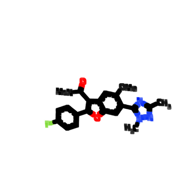 CNC(=O)c1c(-c2ccc(F)cc2)oc2cc(-c3nc(C)nn3C)c(OC)cc12